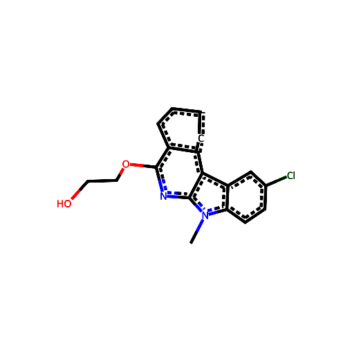 Cn1c2ccc(Cl)cc2c2c3ccccc3c(OCCO)nc21